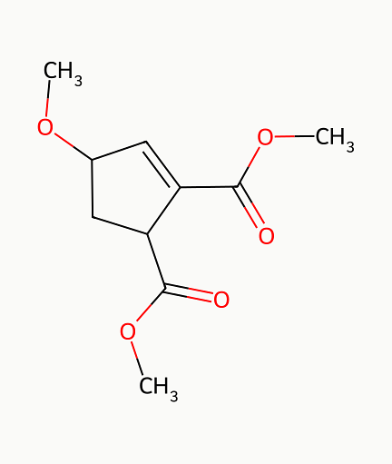 COC(=O)C1=CC(OC)CC1C(=O)OC